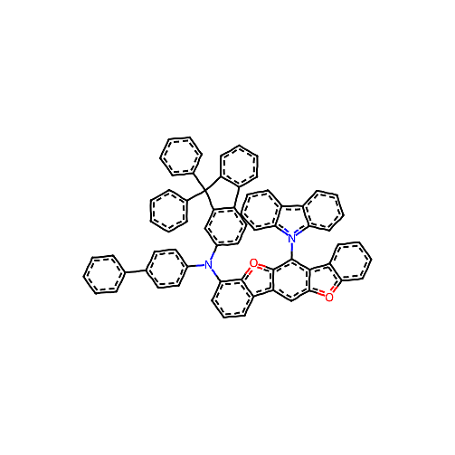 c1ccc(-c2ccc(N(c3ccc4c(c3)C(c3ccccc3)(c3ccccc3)c3ccccc3-4)c3cccc4c3oc3c(-n5c6ccccc6c6ccccc65)c5c(cc34)oc3ccccc35)cc2)cc1